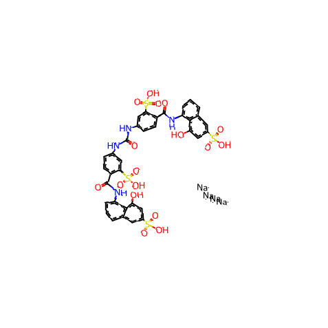 O=C(Nc1ccc(C(=O)Nc2cccc3cc(S(=O)(=O)O)cc(O)c23)c(S(=O)(=O)O)c1)Nc1ccc(C(=O)Nc2cccc3cc(S(=O)(=O)O)cc(O)c23)c(S(=O)(=O)O)c1.[Na].[Na].[Na].[Na]